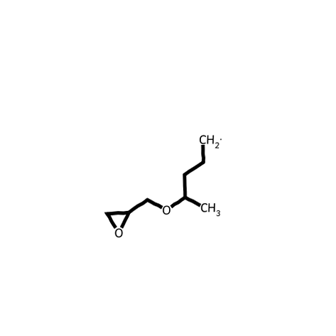 [CH2]CCC(C)OCC1CO1